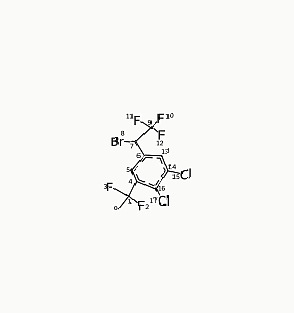 CC(F)(F)c1cc(C(Br)C(F)(F)F)cc(Cl)c1Cl